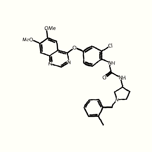 COc1cc2ncnc(Oc3ccc(NC(=O)NC4CCN(Cc5ccccc5C)C4)c(Cl)c3)c2cc1OC